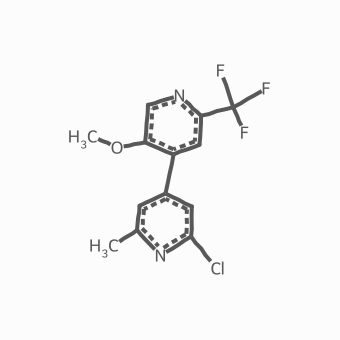 COc1cnc(C(F)(F)F)cc1-c1cc(C)nc(Cl)c1